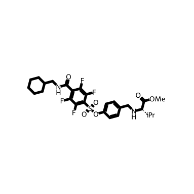 COC(=O)[C@@H](NCc1ccc(OS(=O)(=O)c2c(F)c(F)c(C(=O)NCC3CCCCC3)c(F)c2F)cc1)C(C)C